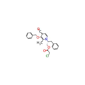 CC1=C(OCc2ccccc2)C(=C=O)C=CN1[C@@H](COC(=O)CCl)Cc1ccccc1